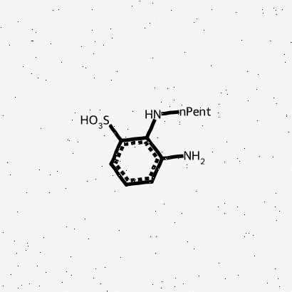 CCCCCNc1c(N)cccc1S(=O)(=O)O